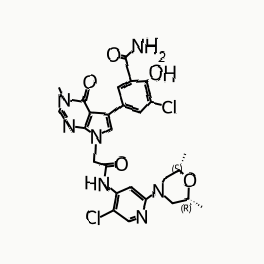 C[C@@H]1CN(c2cc(NC(=O)Cn3cc(-c4cc(Cl)c(O)c(C(N)=O)c4)c4c(=O)n(C)cnc43)c(Cl)cn2)C[C@H](C)O1